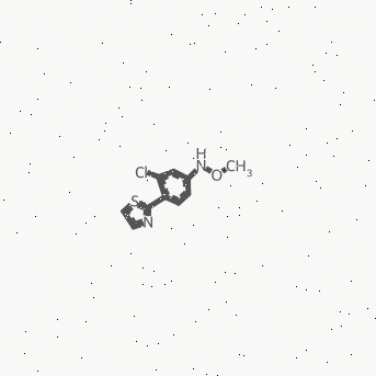 CONc1ccc(-c2nccs2)c(Cl)c1